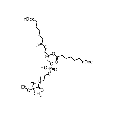 CCCCCCCCCCCCCCCC(=O)OC[C@H](COP(=O)(O)OCCNC(=O)C(C)(C)OCC)OC(=O)CCCCCCCCCCCCCCC